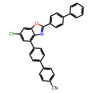 N#Cc1ccc(-c2ccc(-c3cc(Cl)cc4oc(-c5ccc(-c6ccccc6)cc5)nc34)cc2)cc1